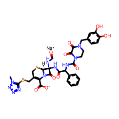 Cn1nnnc1SCC1=C(C(=O)[O-])N2C(=O)[C@@](NC=O)(NC(=O)C(NC(=O)N3CCN(Cc4ccc(O)c(O)c4)C(=O)C3=O)c3ccccc3)[C@@H]2SC1.[Na+]